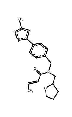 O=C(/C=C/C(F)(F)F)N(Cc1ccc(-c2noc(C(F)(F)F)n2)cc1)CC1CCCO1